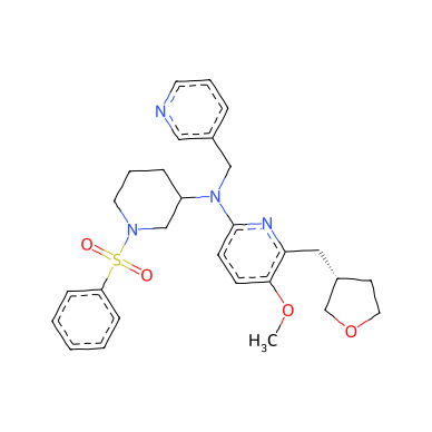 COc1ccc(N(Cc2cccnc2)C2CCCN(S(=O)(=O)c3ccccc3)C2)nc1C[C@@H]1CCOC1